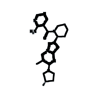 Cc1cn2nc([C@@H]3CCCCN3C(=O)c3cncnc3N)cc2nc1N1CC[C@H](C)C1